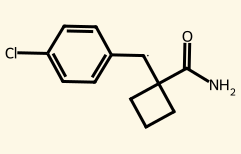 NC(=O)C1([CH]c2ccc(Cl)cc2)CCC1